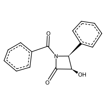 O=C(c1ccccc1)N1C(=O)[C@H](O)[C@@H]1c1ccccc1